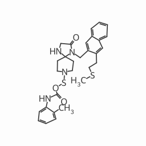 CSCCc1cc2ccccc2cc1CN1C(=O)CNC12CCN(SOC(=O)Nc1ccccc1C)CC2